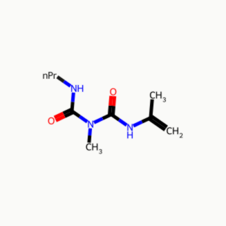 C=C(C)NC(=O)N(C)C(=O)NCCC